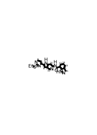 CCOc1nccc(-c2cc3cnc(NC(=O)c4cccc5cn[nH]c45)cc3[nH]2)n1